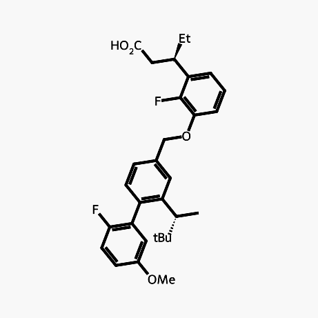 CC[C@H](CC(=O)O)c1cccc(OCc2ccc(-c3cc(OC)ccc3F)c([C@H](C)C(C)(C)C)c2)c1F